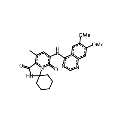 COc1cc2ncnc(Nc3cc(C)c4n(c3=O)C3(CCCCC3)NC4=O)c2cc1OC